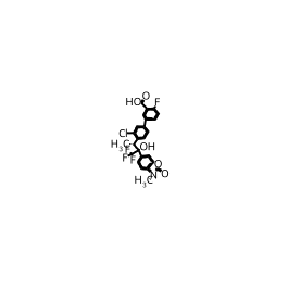 C[C@H](c1ccc(-c2ccc(F)c(C(=O)O)c2)cc1Cl)[C@@](O)(c1ccc2c(c1)oc(=O)n2C)C(F)(F)F